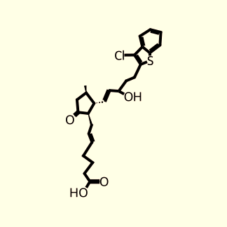 C[C@@H]1CC(=O)[C@H](CC=CCCCC(=O)O)[C@H]1C=CC(O)CCc1sc2ccccc2c1Cl